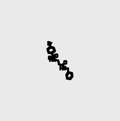 O=C(CCNS(=O)(=O)c1ccc(Br)cc1)NCc1ccccc1